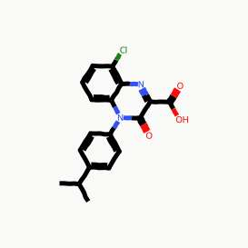 CC(C)c1ccc(-n2c(=O)c(C(=O)O)nc3c(Cl)cccc32)cc1